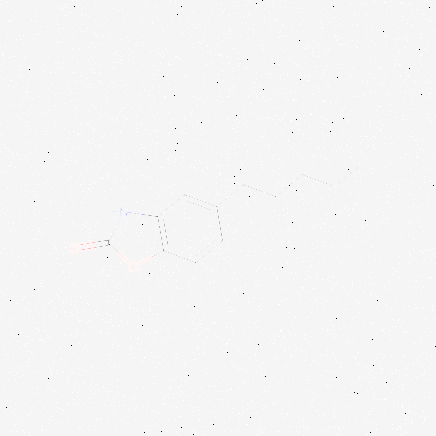 [CH2]CCCCc1ccc2oc(=O)[nH]c2c1